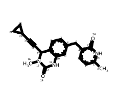 Cc1ccc(Cc2ccc3c(c2)NC(=O)N(C)C3C#CC2CC2)c(=O)[nH]1